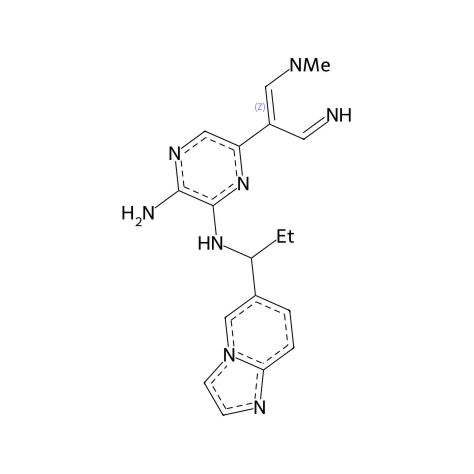 CCC(Nc1nc(/C(C=N)=C/NC)cnc1N)c1ccc2nccn2c1